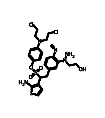 C=Nc1ccc(CC(c2ccsc2N)S(=O)(=O)Oc2ccc(N(CCCl)CCCl)cc2)cc1N(N)CCO